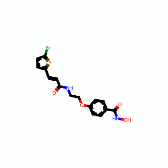 O=C(C=Cc1ccc(Br)s1)NCCOc1ccc(C(=O)NO)cc1